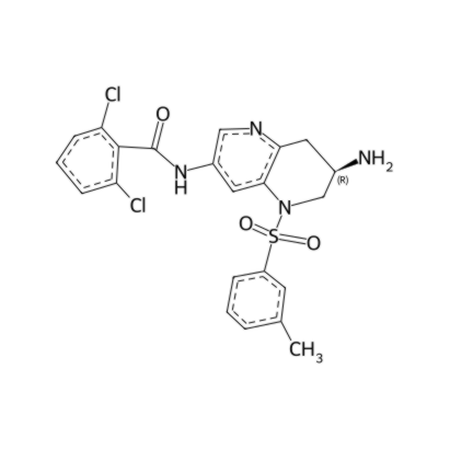 Cc1cccc(S(=O)(=O)N2C[C@H](N)Cc3ncc(NC(=O)c4c(Cl)cccc4Cl)cc32)c1